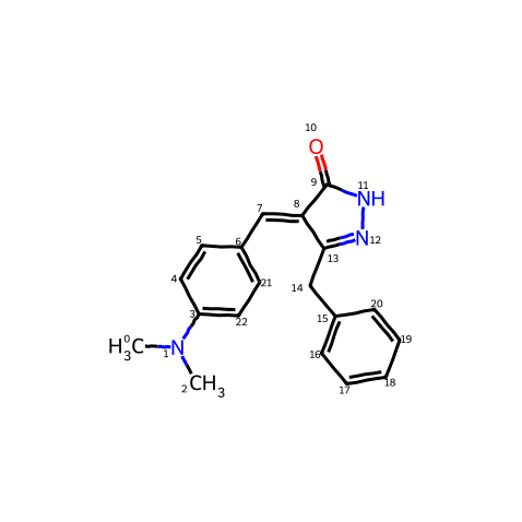 CN(C)c1ccc(C=C2C(=O)NN=C2Cc2ccccc2)cc1